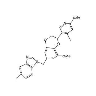 COc1cc(C)c(C2COc3cc(Cn4cnc5cc(I)cnc54)cc(OC)c3O2)cn1